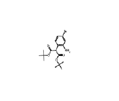 CC(C)(C)OC(=O)C(C(=O)OC(C)(C)C)c1ccc(Br)cc1N